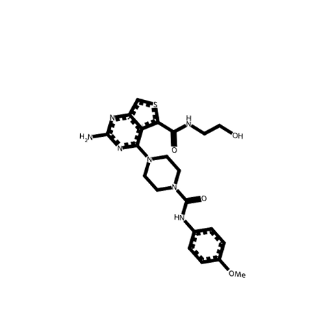 COc1ccc(NC(=O)N2CCN(c3nc(N)nc4csc(C(=O)NCCO)c34)CC2)cc1